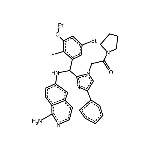 CCOc1cc(CC)cc(C(Nc2ccc3c(N)nccc3c2)c2nc(-c3ccccc3)cn2CC(=O)N2CCCC2)c1F